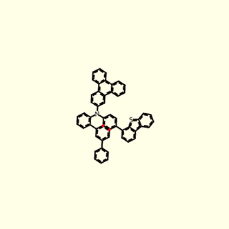 c1ccc(-c2cccc(-c3ccccc3N(c3ccc(-c4cccc5c4sc4ccccc45)cc3)c3ccc4c5ccccc5c5ccccc5c4c3)c2)cc1